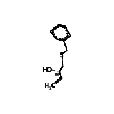 C=C[C@H](O)CSCc1ccccc1